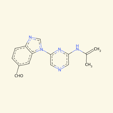 C=C(C)Nc1cncc(-n2cnc3ccc(C=O)cc32)n1